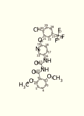 COc1cccc(OC)c1C(=O)NC(=O)Nc1ccc(Oc2cc(C(F)(F)F)ccc2Cl)nc1